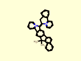 CC1(C)c2cc3c(cc2-c2ccc4ccccc4c21)/C(=C1/Cc2ccccc2-c2cccc[n+]21)[n+]1ccccc1-3